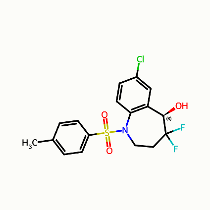 Cc1ccc(S(=O)(=O)N2CCC(F)(F)[C@H](O)c3cc(Cl)ccc32)cc1